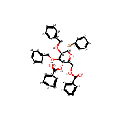 O=C(OCC1O[C@@H](Sc2ccccc2)C(OCc2ccccc2)C(OCc2ccccc2)[C@H]1OC(=O)c1ccccc1)c1ccccc1